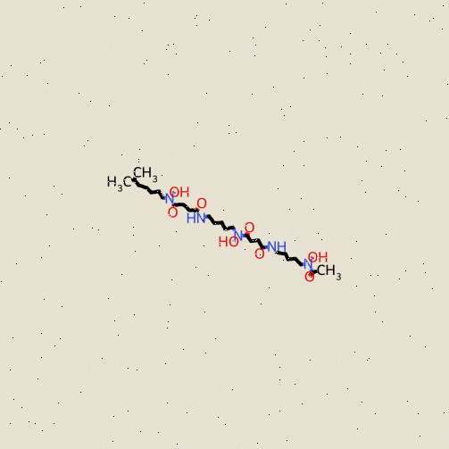 CC(=O)N(O)CCCCCNC(=O)CCC(=O)N(O)CCCCCNC(=O)CCC(=O)N(O)CCCCCC(C)C